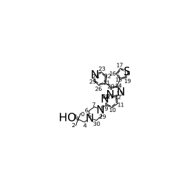 CC(C)(O)CN1CCN(c2ccc3nc(-c4ccsc4)c(-c4ccncc4)n3n2)CC1